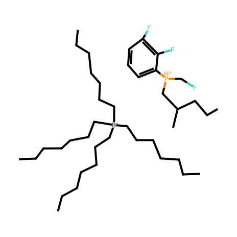 CCCC(C)C[PH+](CF)c1cccc(F)c1F.CCCCCCC[B-](CCCCCCC)(CCCCCCC)CCCCCCC